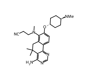 CN[C@H]1CC[C@H](Oc2ccc3c(c2N(C)CCC#N)CC(C)(C)c2c(N)ncnc2-3)CC1